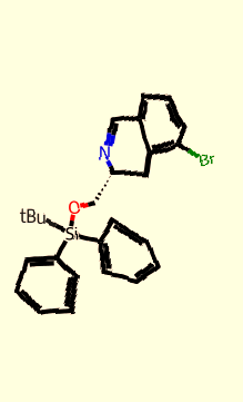 CC(C)(C)[Si](OC[C@H]1Cc2c(Br)cccc2C=N1)(c1ccccc1)c1ccccc1